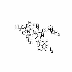 C=C(F)C(=O)N1[C@H](C)CN(c2c(C#N)c(OC[C@@H]3CCCN3C)nc3c2CCN(c2cccc(C)c2C(F)(F)F)C3)C[C@@H]1C